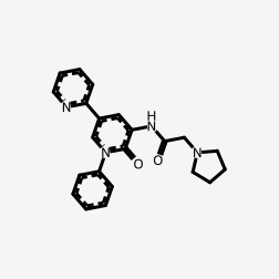 O=C(CN1CCCC1)Nc1cc(-c2ccccn2)cn(-c2ccccc2)c1=O